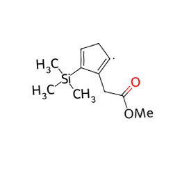 COC(=O)CC1=[C]CC=C1[Si](C)(C)C